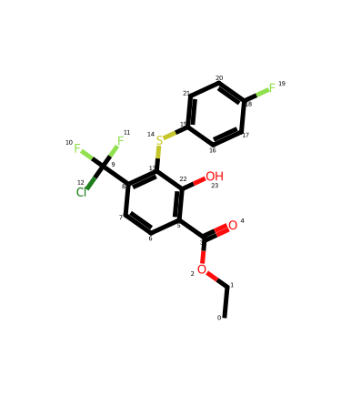 CCOC(=O)c1ccc(C(F)(F)Cl)c(Sc2ccc(F)cc2)c1O